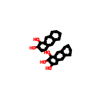 Oc1cc2cc3ccccc3cc2c(O)c1O.Oc1ccc2cc3ccccc3cc2c1O